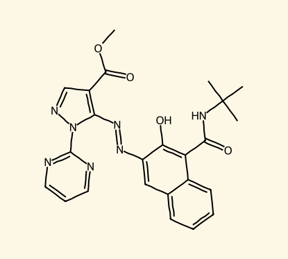 COC(=O)c1cnn(-c2ncccn2)c1/N=N/c1cc2ccccc2c(C(=O)NC(C)(C)C)c1O